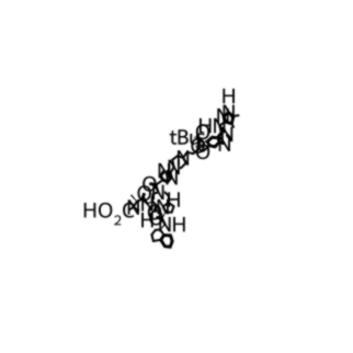 Cc1[nH]nc(Nc2ncnc3cc(OCCCN4CCN(c5ncc(C(=O)N6CC[C@H]7CC[C@@H](C(=O)N[C@@H]8CCCc9ccccc98)N7C(=O)[C@@H](NC(=O)[C@H](C)N(C)C(=O)O)C6)cn5)CC4)c(S(=O)(=O)C(C)(C)C)cc23)c1C